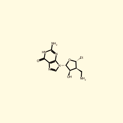 CC[C@H]1O[C@@H](n2cnc3c(=O)[nH]c(N)nc32)[C@H](O)[C@@H]1CN